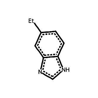 CCc1ccc2[nH]cnc2c1